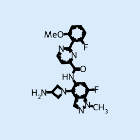 COc1cccc(F)c1-c1nccc(C(=O)Nc2cc(F)c3c(cnn3C)c2N2CC(N)C2)n1